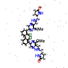 CNc1nc(-c2cccc(-c3cccc(-c4cnc(CNC[C@@H]5CCC(=O)N5)c(OC)n4)c3Cl)c2Cl)cnc1CNC[C@@H]1CCC(=O)N1